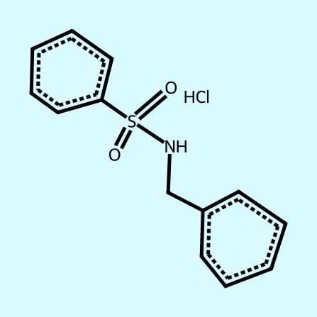 Cl.O=S(=O)(NCc1ccccc1)c1ccccc1